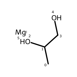 CC(O)CO.[Mg]